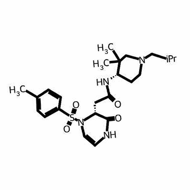 Cc1ccc(S(=O)(=O)N2C=CNC(=O)[C@H]2CC(=O)N[C@H]2CCN(CC(C)C)CC2(C)C)cc1